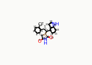 O=C1CS(=C(Cc2ccccc2C(F)(F)F)c2cccc3[nH]ccc23)C(=O)N1